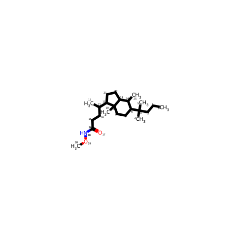 CCCC(C)(C)C1CCC2(C)C(C(C)CCC(=O)NOC)CCC2C1C